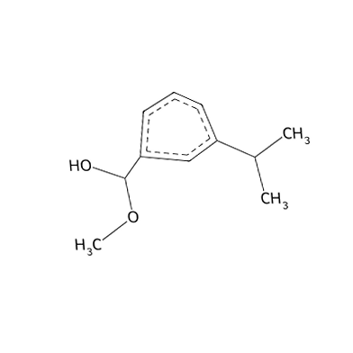 COC(O)c1cccc(C(C)C)c1